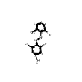 Oc1cc(F)c(N=Nc2c(F)cccc2Cl)c(F)c1